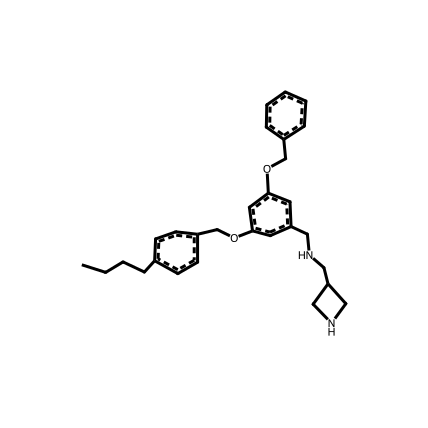 CCCCc1ccc(COc2cc(CNCC3CNC3)cc(OCc3ccccc3)c2)cc1